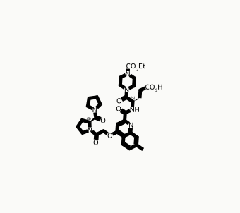 CCOC(=O)N1CCN(C(=O)[C@H](CCC(=O)O)NC(=O)c2cc(OCC(=O)N3CCC[C@H]3C(=O)N3CCCC3)c3ccc(C)cc3n2)CC1